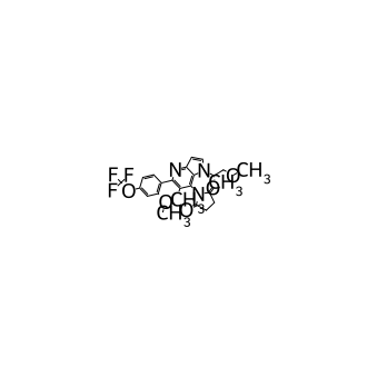 COC[C@H](C)n1ccc2nc(-c3ccc(OC(F)(F)F)cc3OC)c(C)c(N3C(=O)CCC3=O)c21